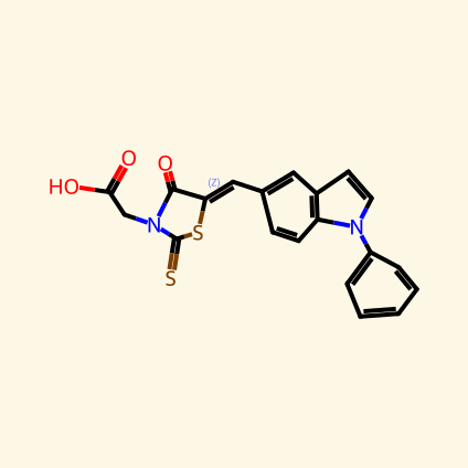 O=C(O)CN1C(=O)/C(=C/c2ccc3c(ccn3-c3ccccc3)c2)SC1=S